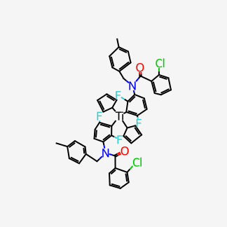 Cc1ccc(CN(C(=O)c2ccccc2Cl)c2ccc(F)[c]([Ti]([c]3c(F)ccc(N(Cc4ccc(C)cc4)C(=O)c4ccccc4Cl)c3F)([CH]3C=CC=C3)[CH]3C=CC=C3)c2F)cc1